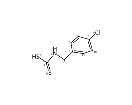 S=C(S)NCc1ccc(Cl)cc1